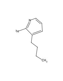 [2H]c1ncccc1CCCC